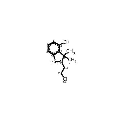 CC1(C)c2c(Cl)cccc2SN1CCCl